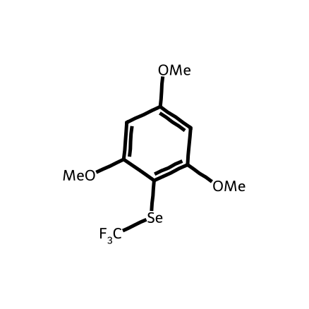 COc1cc(OC)c([Se]C(F)(F)F)c(OC)c1